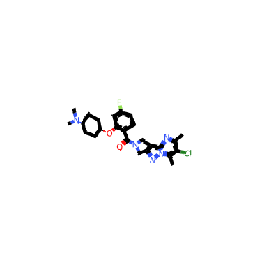 Cc1nc2c3c(nn2c(C)c1Cl)CN(C(=O)c1ccc(F)cc1O[C@H]1CC[C@@H](N(C)C)CC1)C3